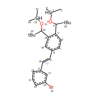 C[SiH](C)OC(c1ccc(/C=C/c2[c]ccc(Br)c2)cc1C(O[SiH](C)C)C(C)(C)C)C(C)(C)C